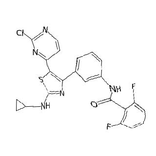 O=C(Nc1cccc(-c2nc(NC3CC3)sc2-c2ccnc(Cl)n2)c1)c1c(F)cccc1F